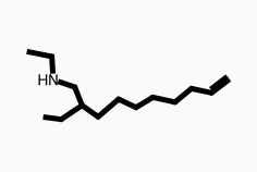 C=CCCCCCCC(CC)CNCC